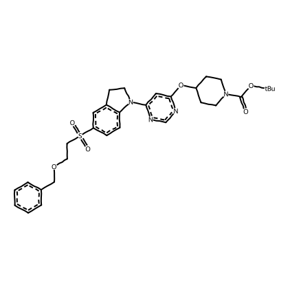 CC(C)(C)OC(=O)N1CCC(Oc2cc(N3CCc4cc(S(=O)(=O)CCOCc5ccccc5)ccc43)ncn2)CC1